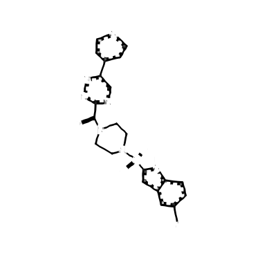 O=C(c1ncc(-c2ccncc2)nn1)N1CCN(S(=O)(=O)c2cc3cc(Cl)ccc3[nH]2)CC1